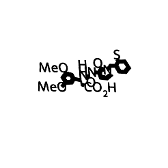 COc1cc(OC)cc([C@H](CC(=O)O)NC(=O)Nc2cccn(CC3=CC=CCC3=S)c2=O)c1